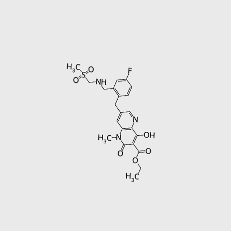 CCOC(=O)c1c(O)c2ncc(Cc3ccc(F)cc3CNCS(C)(=O)=O)cc2n(C)c1=O